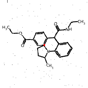 CCNC(=O)C(c1ccc(C(=O)OCC)cc1)c1ccccc1N1CCCC1C